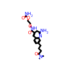 CN(C)C(=O)CCCc1ccc2c(c1)N=C(N)CC(C(=O)NOCCOC(N)=O)=C2